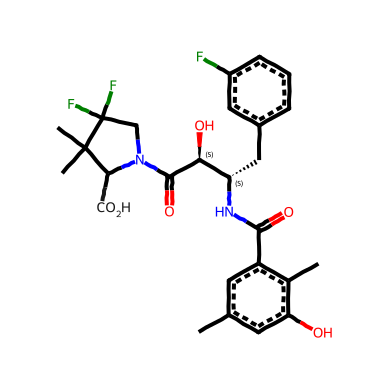 Cc1cc(O)c(C)c(C(=O)N[C@@H](Cc2cccc(F)c2)[C@H](O)C(=O)N2CC(F)(F)C(C)(C)C2C(=O)O)c1